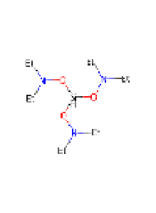 CCN(CC)O[SiH](ON(CC)CC)ON(CC)CC